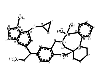 Cc1ccc(C(CC(=O)O)c2cc(OC3CC3)c3c(c2)nnn3C)cc1CN1C[C@H]2CCCCN2c2ncccc2S1(O)O